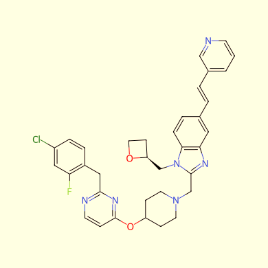 Fc1cc(Cl)ccc1Cc1nccc(OC2CCN(Cc3nc4cc(/C=C/c5cccnc5)ccc4n3C[C@@H]3CCO3)CC2)n1